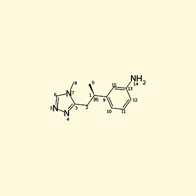 C[C@H](Cc1nncn1C)c1cccc(N)c1